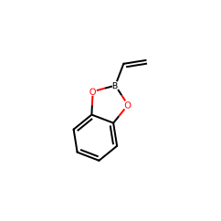 C=CB1Oc2ccccc2O1